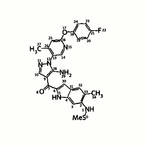 CSNc1cc2[nH]c(C(=O)c3cnn(-c4cnc(Oc5ccc(F)cc5)cc4C)c3N)cc2cc1C